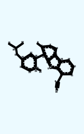 Cc1ccc2c(oc3c(C#N)cccc32)c1-c1cc(CC(C)C)cc[n+]1C